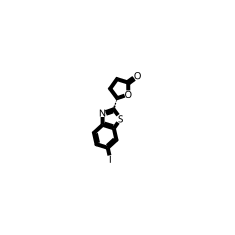 O=C1CC[C@@H](c2nc3ccc(I)cc3s2)O1